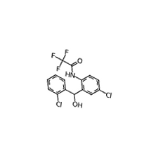 O=C(Nc1ccc(Cl)cc1C(O)c1ccccc1Cl)C(F)(F)F